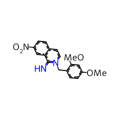 COc1ccc(Cn2ccc3ccc([N+](=O)[O-])cc3c2=N)c(OC)c1